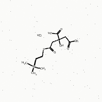 C[N+](C)(C)CCOC(=O)CC(O)(CC(=O)O)C(=O)O.Cl